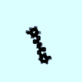 Cc1cccc(OC(=O)/N=N/C(=O)Oc2cccc(C)c2)c1